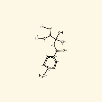 CCOC(OCC)C(O)(O)OC(=O)c1ccc(C)cc1